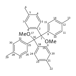 COC(c1ccc(C)cc1)(c1ccc(C)cc1)C(OC)(c1ccc(C)cc1)c1ccc(C)cc1